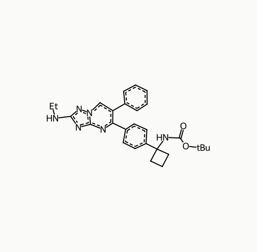 CCNc1nc2nc(-c3ccc(C4(NC(=O)OC(C)(C)C)CCC4)cc3)c(-c3ccccc3)cn2n1